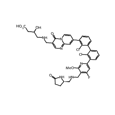 COc1nc(-c2cccc(-c3cccc(-c4ccn5c(=O)c(CNCC(O)CC(=O)O)cnc5c4)c3Cl)c2Cl)cc(F)c1CNC[C@H]1CCC(=O)N1